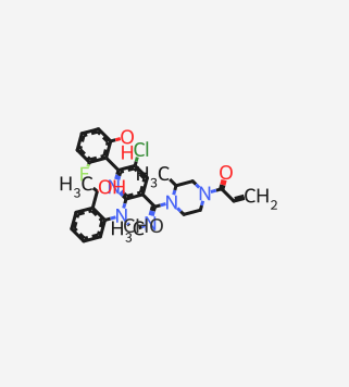 C=CC(=O)N1CCN(/C(=N/C)c2cc(Cl)c(-c3c(O)cccc3F)nc2N(C=O)c2ccccc2C(C)O)C(C)C1